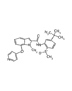 Cn1c(C(=O)Nc2cc(C(C)(C)C)ccc2[S+](C)[O-])cc2cccc(Oc3ccncc3)c21